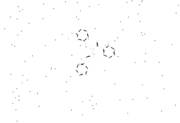 O=C(c1c(F)cc(F)cc1F)N1N=C(c2ccc(F)c(F)c2)SC1c1cccc2c1OCO2